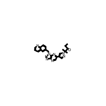 CCC(=O)C(C)(C)n1cc(-c2cnc3nnn(Cc4ccc5ncccc5c4)c3n2)cn1